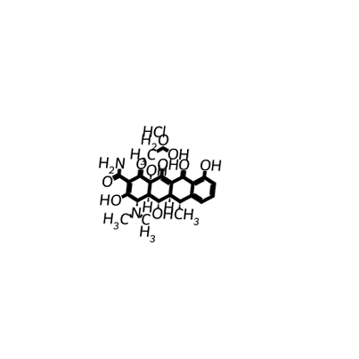 CCO.C[C@H]1c2cccc(O)c2C(=O)C2=C(O)[C@]3(O)C(=O)C(C(N)=O)=C(O)[C@@H](N(C)C)[C@@H]3[C@@H](O)[C@@H]21.Cl.O